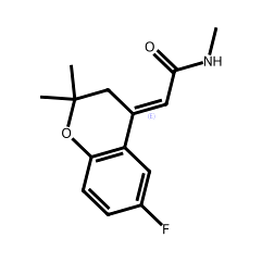 CNC(=O)/C=C1\CC(C)(C)Oc2ccc(F)cc21